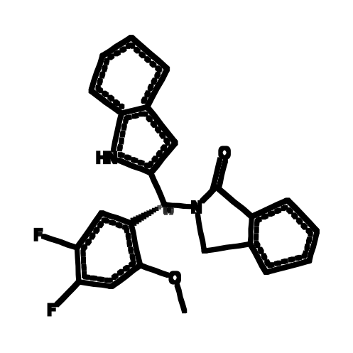 COc1cc(F)c(F)cc1[C@H](c1cc2ccccc2[nH]1)N1Cc2ccccc2C1=O